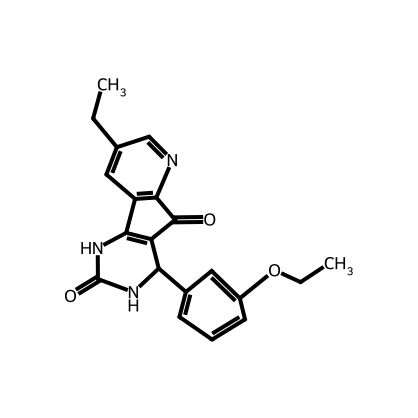 CCOc1cccc(C2NC(=O)NC3=C2C(=O)c2ncc(CC)cc23)c1